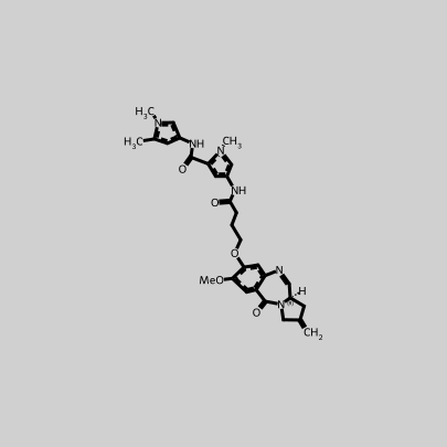 C=C1C[C@@H]2C=Nc3cc(OCCCC(=O)Nc4cc(C(=O)Nc5cc(C)n(C)c5)n(C)c4)c(OC)cc3C(=O)N2C1